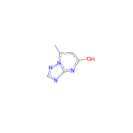 Cc1cc(O)nc2ncnn12